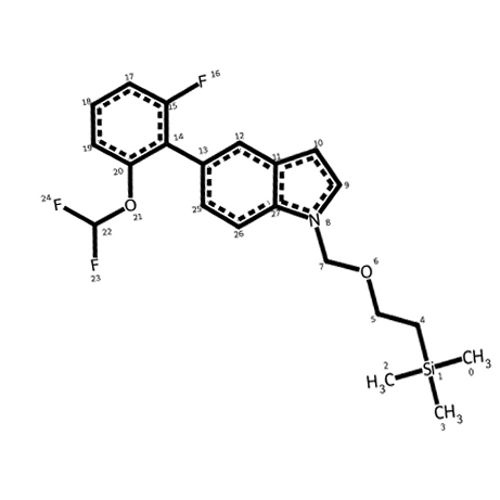 C[Si](C)(C)CCOCn1ccc2cc(-c3c(F)cccc3OC(F)F)ccc21